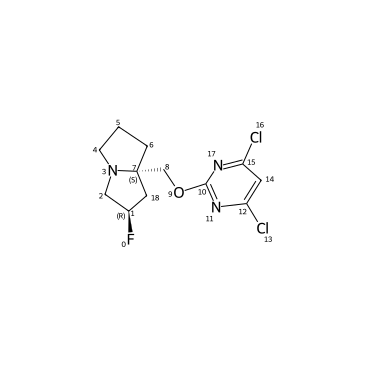 F[C@H]1CN2CCC[C@@]2(COc2nc(Cl)cc(Cl)n2)C1